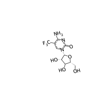 Nc1nc(=O)n([C@@H]2O[C@H](CO)C(O)[C@@H]2O)cc1C(F)(F)F